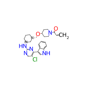 C=CC(=O)N1CCC(OC[C@H]2CCC[C@@H](Nc3ncc(Cl)c(-c4c[nH]c5ccccc45)n3)C2)CC1